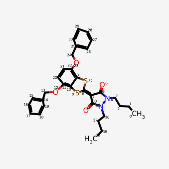 CCCCN1C(=O)C(=C2Sc3c(OCc4ccccc4)ccc(OCc4ccccc4)c3S2)C(=O)N1CCCC